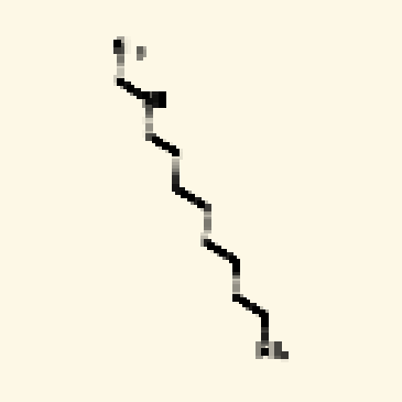 NCCCCCCCCNC[SiH3]